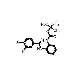 CC(C)(C)OC(=O)Nc1ccccc1NC(=O)c1ccc(Br)c(F)c1